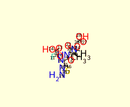 CC1(C)[C@H](NC(=O)/C(=N\OC(F)C(=O)O)c2csc(N)n2)C(=O)N1OCC(=O)O